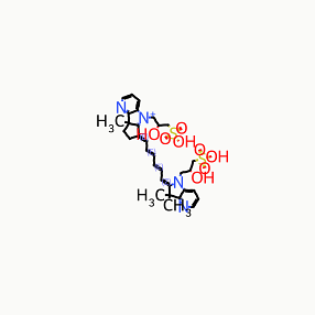 CC12CC\C(=C/C=C/C=C/C=C3\N(CC(O)CS(=O)(=O)O)c4cccnc4C3(C)C)C1=[N+](CC(O)CS(=O)(=O)O)c1cccnc12